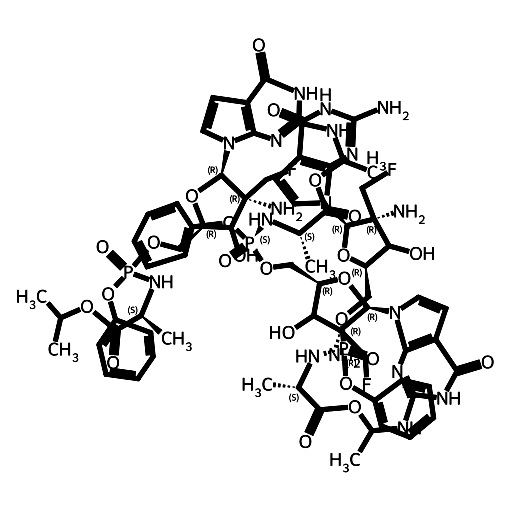 CC(C)OC(=O)[C@H](C)NP(=O)(OC[C@H]1O[C@@H](n2ccc3c(=O)[nH]c(NC(C)OC(=O)[C@H](C)N[P@](=O)(OC[C@H]4O[C@@H](n5ccc6c(=O)[nH]c(NC(C)OC(=O)[C@H](C)N[P@@](=O)(OC[C@H]7O[C@@H](n8ccc9c(=O)[nH]c(N)nc98)[C@@](N)(CF)C7O)Oc7ccccc7)nc65)[C@@](N)(CF)C4O)Oc4ccccc4)nc32)[C@@](N)(CF)C1O)Oc1ccccc1